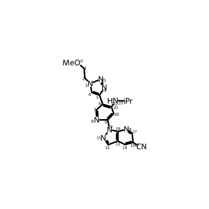 COCCn1cc(-c2cnc(-n3ncc4cc(C#N)cnc43)cc2NC(C)C)nn1